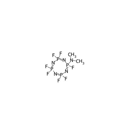 CN(C)P1(F)=NP(F)(F)=NP(F)(F)=NP(F)(F)=N1